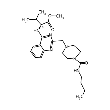 CCCCNC(=O)N1CCN(Cc2nc(N[C@H](C(=O)OC)C(C)C)c3ccccc3n2)CC1